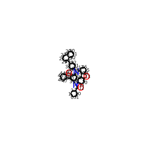 c1ccc(-c2nc3cc4c(cc3o2)oc2cccc(N(c3ccc(-c5cccc6ccccc56)cc3)c3cccc5c3oc3ccccc35)c24)cc1